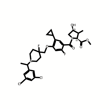 COC(=O)[C@@H]1C(C)[C@H](O)CN1C(=O)c1cc(C2CC2)c(OCC2(F)CCN(C(C)c3cc(Cl)cc(Cl)c3)CC2)cc1F